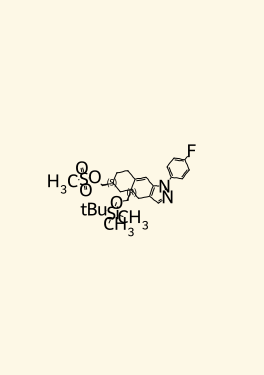 CC(C)(C)[Si](C)(C)OC[C@]12Cc3cnn(-c4ccc(F)cc4)c3C=C1CC[C@H](COS(C)(=O)=O)C2